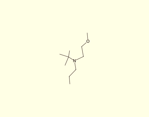 CCCN(CCOC)C(C)(C)C